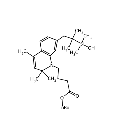 CCCCOC(=O)CCCN1c2cc(CC(C)(C)[Si](C)(C)O)ccc2C(C)=CC1(C)C